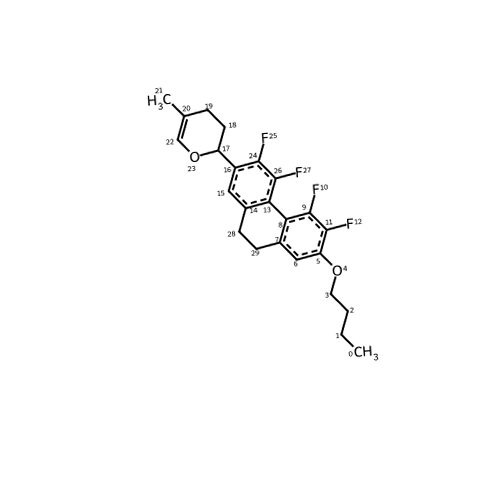 CCCCOc1cc2c(c(F)c1F)-c1c(cc(C3CCC(C)=CO3)c(F)c1F)CC2